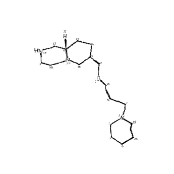 C1CCN(CCCOC[C@@H]2CC[C@H]3CNCCN3C2)CC1